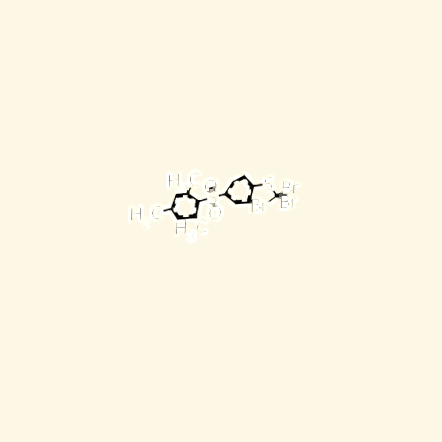 Cc1cc(C)c(S(=O)(=O)c2ccc(SC(Br)(Br)Br)cc2)c(C)c1